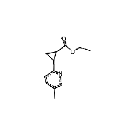 CCOC(=O)C1CC1c1ccc(C)cn1